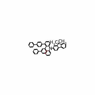 CC1(C)c2ccccc2-c2ccc(N(c3ccccc3)c3cccc(-c4ccc(-c5ccccc5)cc4)c3-c3cccc(-c4ccccc4)c3)cc21